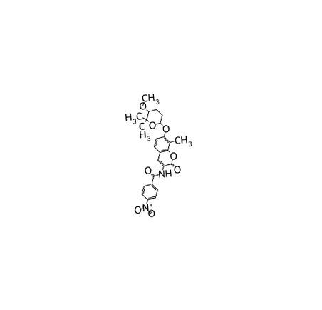 COC1CCC(Oc2ccc3cc(NC(=O)c4ccc([N+](=O)[O-])cc4)c(=O)oc3c2C)OC1(C)C